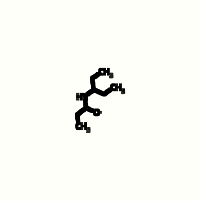 CCC([O])NC(CC)CC